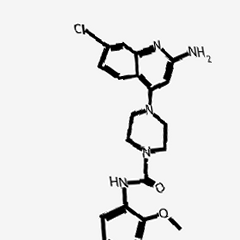 COc1ncccc1NC(=O)N1CCN(c2cc(N)nc3cc(Cl)ccc23)CC1